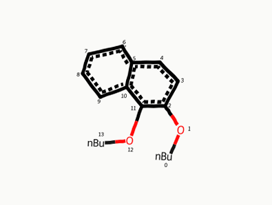 CCCCOc1ccc2[c]cccc2c1OCCCC